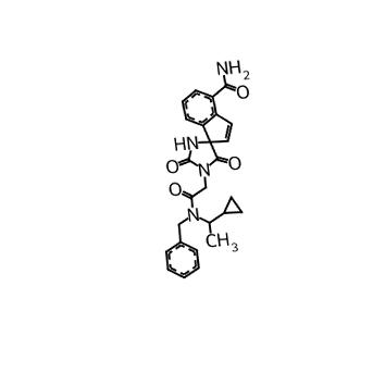 CC(C1CC1)N(Cc1ccccc1)C(=O)CN1C(=O)NC2(C=Cc3c(C(N)=O)cccc32)C1=O